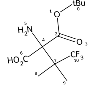 CC(C)(C)OC(=O)C(N)(C(=O)O)C(C)(C)C(F)(F)F